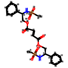 CC(C)(C)S(=O)(=O)N[C@@H](COC(=O)/C=C/C(=O)OC[C@H](NS(=O)(=O)C(C)(C)C)c1ccccc1)c1ccccc1